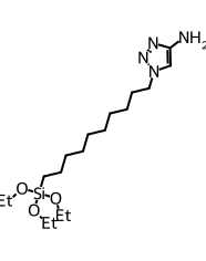 CCO[Si](CCCCCCCCCCn1cc(N)nn1)(OCC)OCC